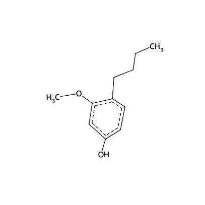 CCCCc1ccc(O)cc1OC